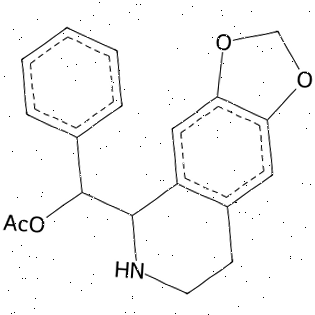 CC(=O)OC(c1ccccc1)C1NCCc2cc3c(cc21)OCO3